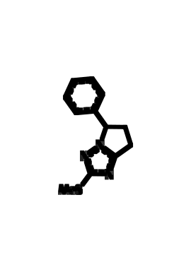 CSc1nc2n(n1)C(c1ccccc1)CC2